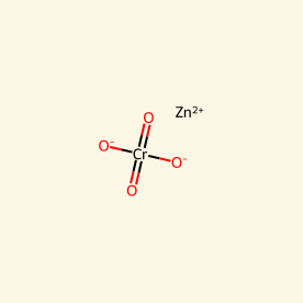 [O]=[Cr](=[O])([O-])[O-].[Zn+2]